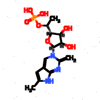 C=C1N=c2[nH]c(C)cc2=CN1[C@@H]1O[C@H](C(C)OP(=O)(O)O)[C@@H](O)[C@H]1O